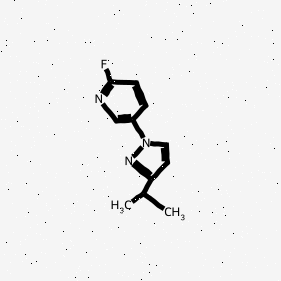 CC(C)c1ccn(-c2ccc(F)nc2)n1